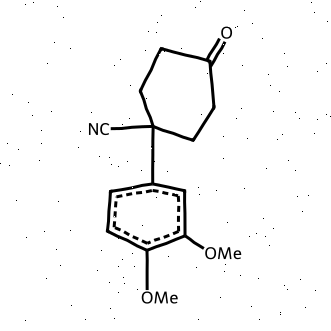 COc1ccc(C2(C#N)CCC(=O)CC2)cc1OC